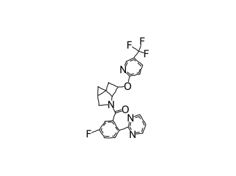 O=C(c1cc(F)ccc1-c1ncccn1)N1CC2CC23CC(Oc2ccc(C(F)(F)F)cn2)C13